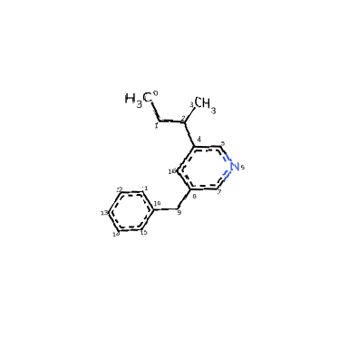 CCC(C)c1cncc(Cc2ccccc2)c1